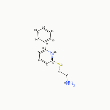 NCCSc1cccc(-c2ccccc2)n1